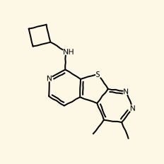 Cc1nnc2sc3c(NC4CCC4)nccc3c2c1C